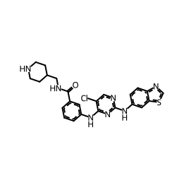 O=C(NCC1CCNCC1)c1cccc(Nc2nc(Nc3ccc4ncsc4c3)ncc2Cl)c1